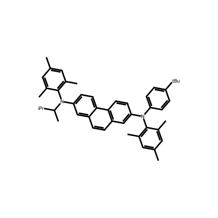 Cc1cc(C)c(N(c2ccc(C(C)(C)C)cc2)c2ccc3c(ccc4cc(N(c5c(C)cc(C)cc5C)C(C)C(C)C)ccc43)c2)c(C)c1